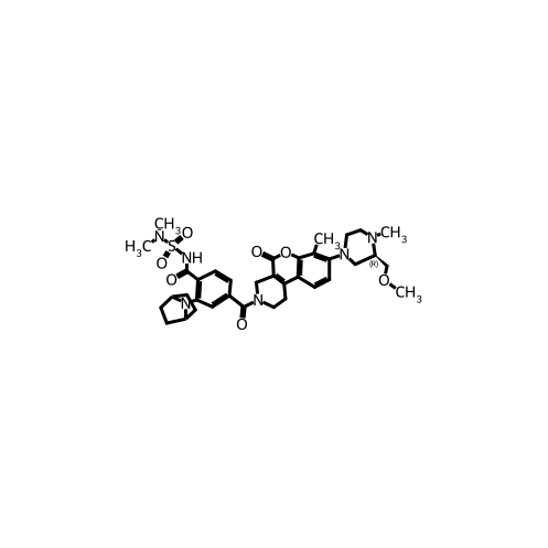 COC[C@H]1CN(c2ccc3c4c(c(=O)oc3c2C)CN(C(=O)c2ccc(C(=O)NS(=O)(=O)N(C)C)c(N3C5CCC3CC5)c2)CC4)CCN1C